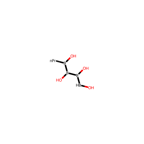 CCCB(O)B(O)B(O)BO